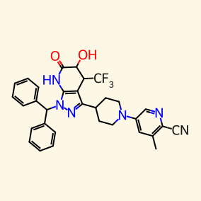 Cc1cc(N2CCC(c3nn(C(c4ccccc4)c4ccccc4)c4c3C(C(F)(F)F)C(O)C(=O)N4)CC2)cnc1C#N